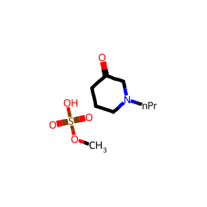 CCCN1CCCC(=O)C1.COS(=O)(=O)O